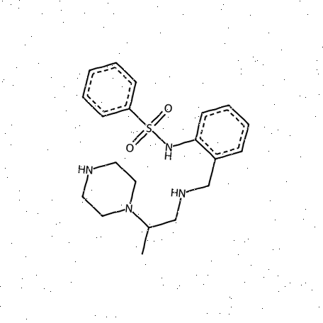 CC(CNCc1ccccc1NS(=O)(=O)c1ccccc1)N1CCNCC1